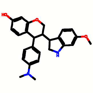 COc1ccc2c(c1)NCC2C1COc2cc(O)ccc2C1c1ccc(N(C)C)cc1